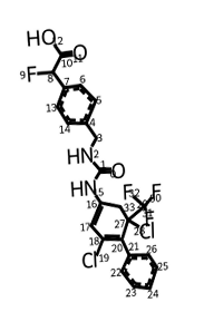 O=C(NCc1ccc(C(F)C(=O)O)cc1)NC1=CC(Cl)=C(c2ccccc2)C(Cl)(C(F)(F)F)C1